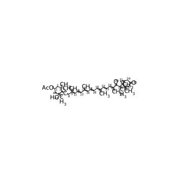 CC(=O)O[C@H]1CC(C)(C)C(=C=C/C(C)=C/C=C/C(C)=C/C=C/C=C(C)/C=C/C=C(\C)C(=O)C[C@@]23C[C@]2(C)CC(=O)CC3(C)C)[C@](C)(O)C1